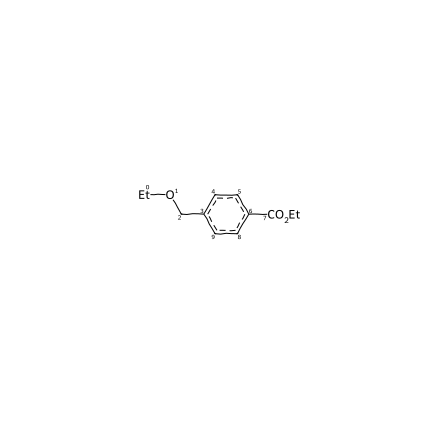 CCOCc1ccc(C(=O)OCC)cc1